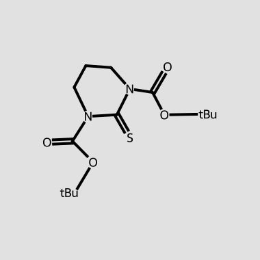 CC(C)(C)OC(=O)N1CCCN(C(=O)OC(C)(C)C)C1=S